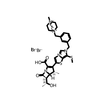 CSc1c2sc(C3=C(C(=O)O)N4C(=O)[C@H]([C@@H](C)O)[C@H]4[C@H]3C)c[n+]2cn1Cc1cccc(C[N+]23CC[N+](C)(CC2)CC3)c1.[Br-].[Br-].[I-]